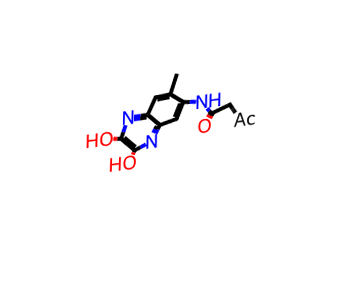 CC(=O)CC(=O)Nc1cc2nc(O)c(O)nc2cc1C